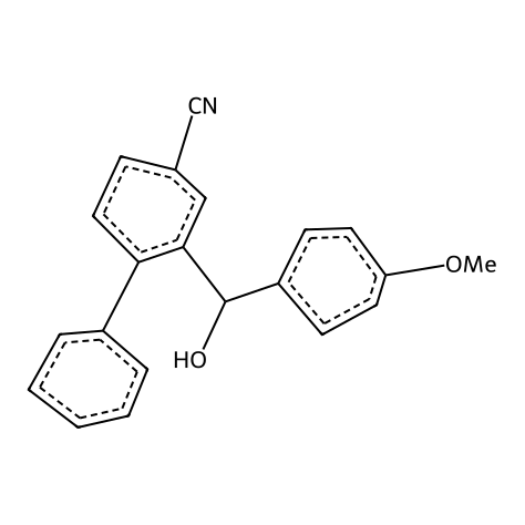 COc1ccc(C(O)c2cc(C#N)ccc2-c2ccccc2)cc1